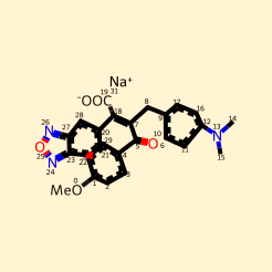 COc1ccc(C(=O)/C(Cc2ccc(N(C)C)cc2)=C(/C(=O)[O-])c2ccc3nonc3c2)cc1.[Na+]